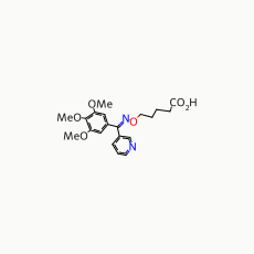 COc1cc(C(=NOCCCCC(=O)O)c2cccnc2)cc(OC)c1OC